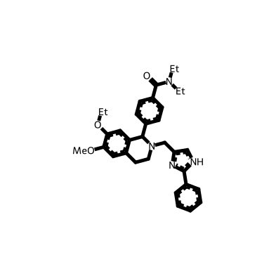 CCOc1cc2c(cc1OC)CCN(Cc1c[nH]c(-c3ccccc3)n1)C2c1ccc(C(=O)N(CC)CC)cc1